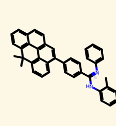 Cc1ccccc1N/C(=N/c1ccccc1)c1ccc(-c2cc3ccc4cccc5c4c3c3c(cccc23)C5(C)C)cc1